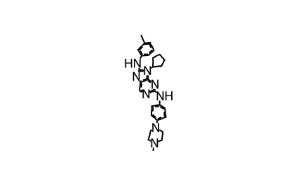 Cc1cccc(Nc2nc3cnc(Nc4ccc(N5CCN(C)CC5)cc4)nc3n2C2CCCC2)c1